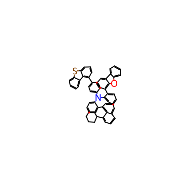 c1ccc(N(c2ccc(-c3cccc4sc5ccccc5c34)cc2)c2ccccc2-c2cccc3cccc(C4CCCCC4)c23)c(-c2cccc3c2oc2ccccc23)c1